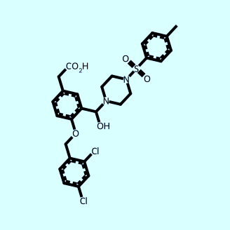 Cc1ccc(S(=O)(=O)N2CCN(C(O)c3cc(CC(=O)O)ccc3OCc3ccc(Cl)cc3Cl)CC2)cc1